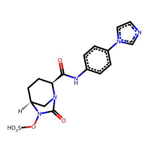 O=C(Nc1ccc(-n2ccnc2)cc1)[C@@H]1CC[C@H]2CN1C(=O)N2OS(=O)(=O)O